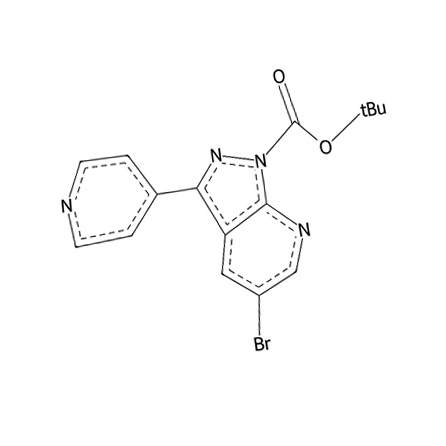 CC(C)(C)OC(=O)n1nc(-c2ccncc2)c2cc(Br)cnc21